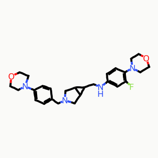 Fc1cc(NCC2C3CN(Cc4ccc(N5CCOCC5)cc4)CC23)ccc1N1CCOCC1